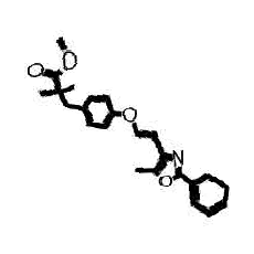 COC(=O)C(C)(C)Cc1ccc(OCCc2nc(-c3ccccc3)oc2C)cc1